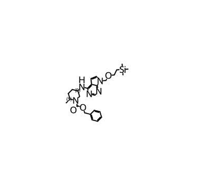 C[C@H]1CC[C@@H](Nc2ncnc3c2ccn3COCC[Si](C)(C)C)CN1C(=O)OCc1ccccc1